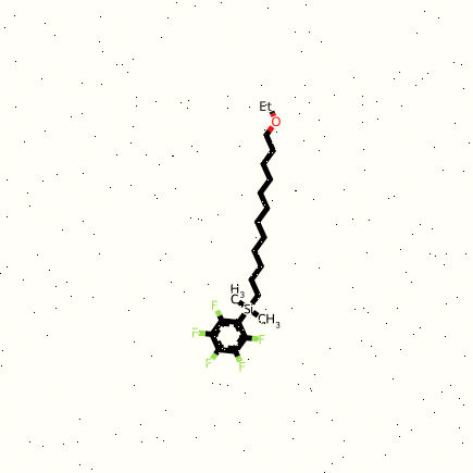 CCOCCCCCCCCCCCC[Si](C)(C)c1c(F)c(F)c(F)c(F)c1F